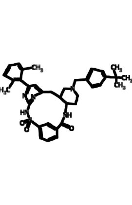 Cc1cccc(C)c1-c1cc2nc(n1)NS(=O)(=O)c1cccc(c1)C(=O)NC1CCN(Cc3ccc(C(C)(C)C)cc3)CC1C2